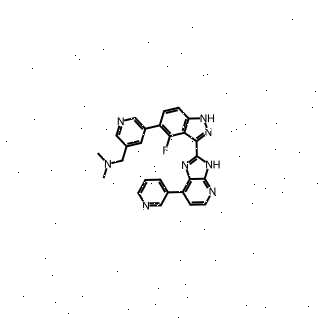 CN(C)Cc1cncc(-c2ccc3[nH]nc(-c4nc5c(-c6cccnc6)ccnc5[nH]4)c3c2F)c1